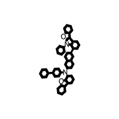 c1ccc(-c2ccc(N(c3ccc4cc(-c5cccc6c7c8ccccc8oc7n(-c7ccccc7)c56)ccc4c3)c3cccc4c3oc3ccccc34)cc2)cc1